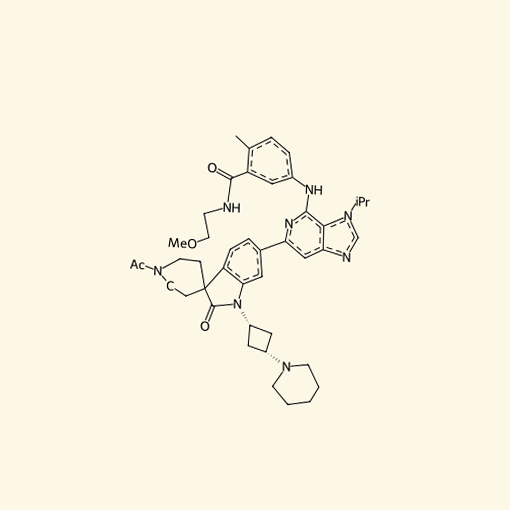 COCCNC(=O)c1cc(Nc2nc(-c3ccc4c(c3)N([C@H]3C[C@@H](N5CCCCC5)C3)C(=O)C43CCN(C(C)=O)CC3)cc3ncn(C(C)C)c23)ccc1C